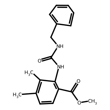 COC(=O)c1ccc(C)c(C)c1NC(=O)NCc1ccccc1